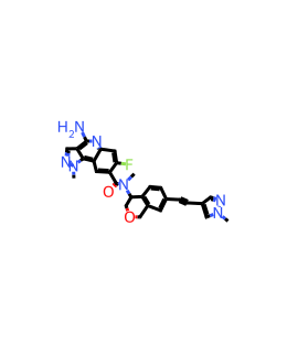 CN(C(=O)c1cc2c(cc1F)nc(N)c1cnn(C)c12)C1COCc2cc(C#Cc3cnn(C)c3)ccc21